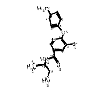 Cc1ccc(Oc2ncc(C(=O)NC(C)CO)cc2Br)cc1